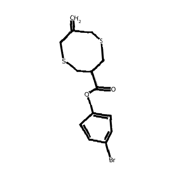 C=C1CSCC(C(=O)Oc2ccc(Br)cc2)CSC1